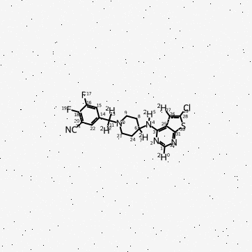 [2H]c1nc(N([2H])C2([2H])CCN(C([2H])([2H])c3cc(F)c(F)c(C#N)c3)CC2)c2c([2H])c(Cl)sc2n1